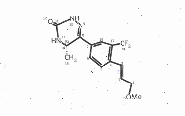 COC/C=C/c1ccc(C2=NNC(=O)N[C@H]2C)cc1C(F)(F)F